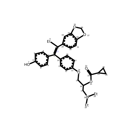 CC/C(=C(\c1ccc(O)cc1)c1ccc(OCC(CN(CC)CC)OC(=O)C2CC2)cc1)c1ccc2c(c1)OCO2